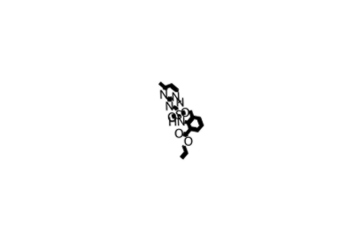 C=CCOC(=O)c1cccc(C)c1NS(=O)(=O)c1nc2nc(C)ccn2n1